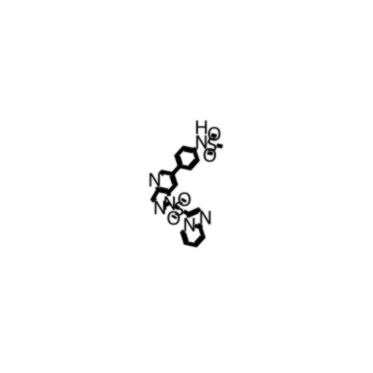 CS(=O)(=O)Nc1ccc(-c2cnc3cnn(S(=O)(=O)c4cnc5ccccn45)c3c2)cc1